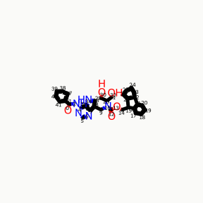 O=C(Nc1ncnc2c(CN(C(=O)OCC3c4ccccc4-c4ccccc43)C(CO)CO)c[nH]c12)c1ccccc1